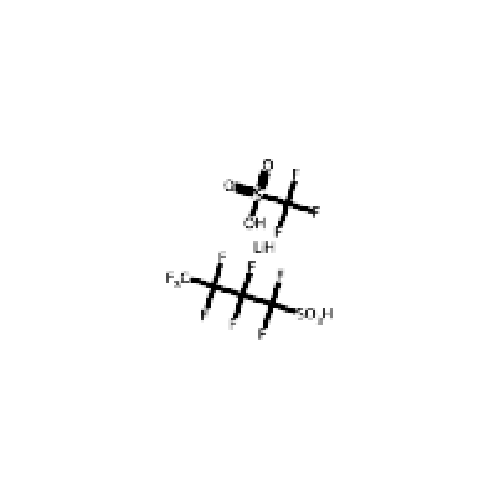 O=S(=O)(O)C(F)(F)C(F)(F)C(F)(F)C(F)(F)F.O=S(=O)(O)C(F)(F)F.[LiH]